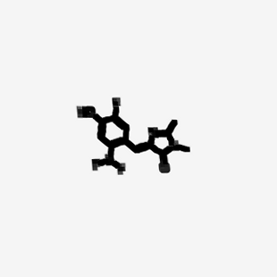 CC1=NC(=Cc2cc(F)c(O)cc2B(F)F)C(=O)N1C